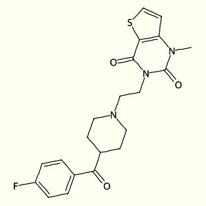 Cn1c(=O)n(CCN2CCC(C(=O)c3ccc(F)cc3)CC2)c(=O)c2sccc21